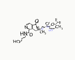 C\C=C/C(OCC(F)F)=C(Cl)\C=C\C(C)N1Cc2c(ccnc2C(=O)NCCCO)C1=O